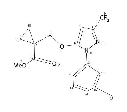 COC(=O)C1(COc2cc(C(F)(F)F)nn2-c2cccc(C)c2)CC1